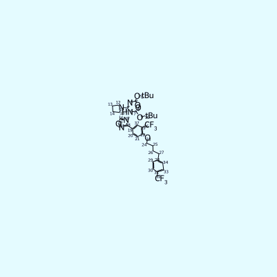 CC(C)(C)OC(=O)/N=C(\NC(=O)OC(C)(C)C)N1CCC[C@H]1c1nc(-c2ccc(OCCCCc3ccc(C(F)(F)F)cc3)c(C(F)(F)F)c2)no1